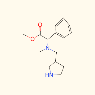 COC(=O)C(c1ccccc1)N(C)CC1CCNC1